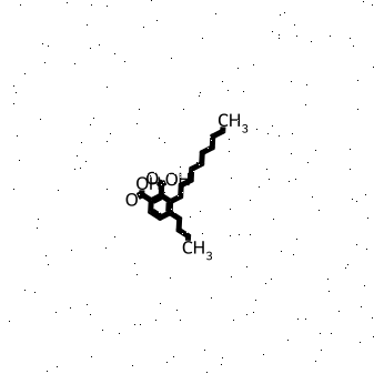 CCCCCCCCCCc1c(CCCC)ccc(C(=O)O)c1C(=O)O